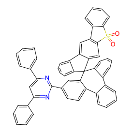 O=S1(=O)c2ccccc2-c2cc3c(cc21)C1(c2ccccc2-c2ccccc2-c2ccc(-c4nc(-c5ccccc5)cc(-c5ccccc5)n4)cc21)c1ccccc1-3